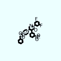 O=c1c(-c2cccc([N+](=O)[O-])c2)c(N2CCN(S(=O)(=O)Cc3ccccc3)CC2)cnn1-c1cc(F)cc(F)c1